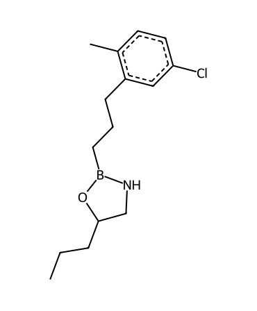 CCCC1CNB(CCCc2cc(Cl)ccc2C)O1